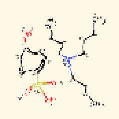 CCCCN(CCCC)CCCC.O=S(=O)(O)c1ccc(O)cc1